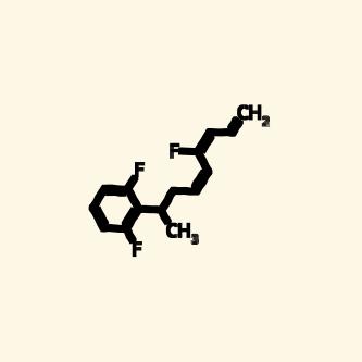 C=C/C=C(F)\C=C/CC(C)c1c(F)cccc1F